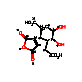 CC(O)CO.O=C(O)CCCCC(=O)O.O=C1C=CC(=O)O1